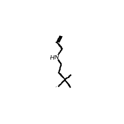 [CH2]C(C)(C)CCNCC=C